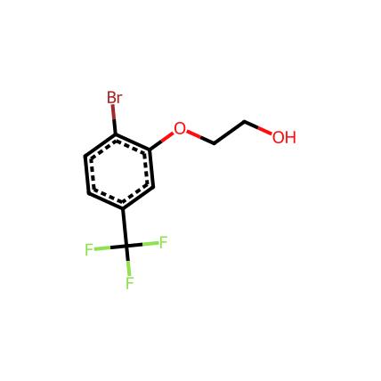 OCCOc1cc(C(F)(F)F)ccc1Br